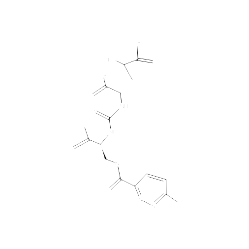 O=C(N[C@@H](CNC(=O)c1ccc(F)nn1)C(=O)O)N[C@@H](CC(S)C(=O)O)C(=O)O